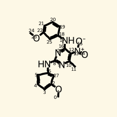 COc1cccc(Nc2nc(C)c([N+](=O)[O-])c(Nc3cccc(OC)c3)n2)c1